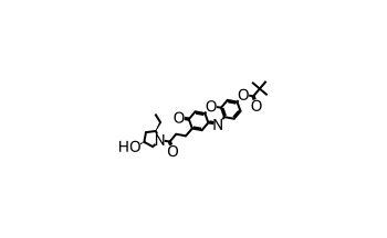 CC[C@@H]1C[C@@H](O)CN1C(=O)CCc1cc2nc3ccc(OC(=O)C(C)(C)C)cc3oc-2cc1=O